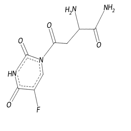 NC(=O)C(N)CC(=O)n1cc(F)c(=O)[nH]c1=O